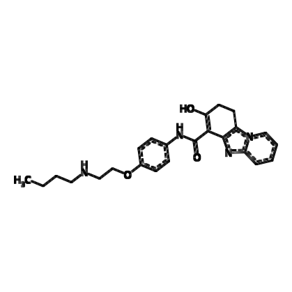 CCCCNCCOc1ccc(NC(=O)C2=C(O)CCc3c2nc2ccccn32)cc1